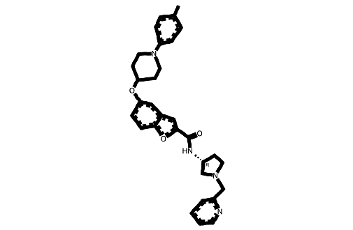 Cc1ccc(N2CCC(Oc3ccc4oc(C(=O)N[C@@H]5CCN(Cc6ccccn6)C5)cc4c3)CC2)cc1